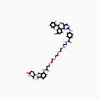 O=C1CCC(N2Cc3c(NC(=O)CCOCCOCCOCCNCCNC(=O)c4ccc(Nc5ncc6c(n5)-c5ccc(Cl)cc5C(c5c(F)cccc5F)=NC6)cc4)cccc3C2=O)C(=O)N1